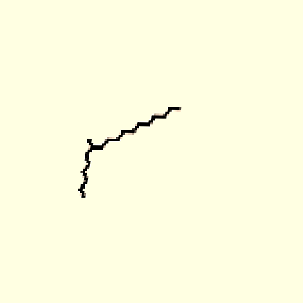 [CH2]CCCCCC(C)CCCCCCCCCCC